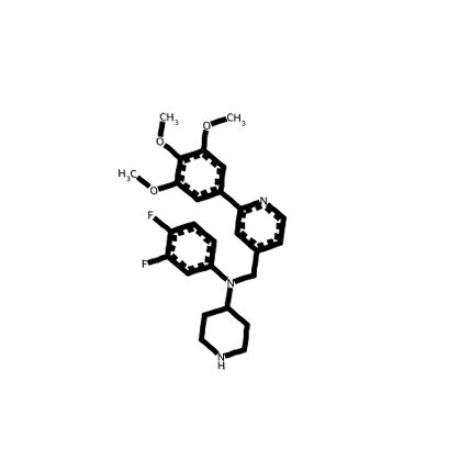 COc1cc(-c2cc(CN(c3ccc(F)c(F)c3)C3CCNCC3)ccn2)cc(OC)c1OC